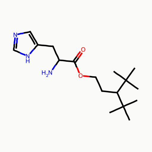 CC(C)(C)C(CCOC(=O)C(N)Cc1cnc[nH]1)C(C)(C)C